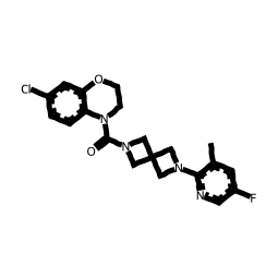 Cc1cc(F)cnc1N1CC2(CN(C(=O)N3CCOc4cc(Cl)ccc43)C2)C1